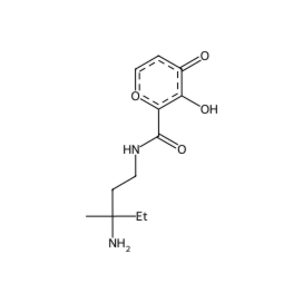 CCC(C)(N)CCNC(=O)c1occc(=O)c1O